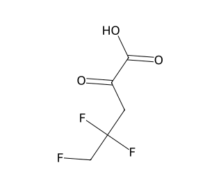 O=C(O)C(=O)CC(F)(F)CF